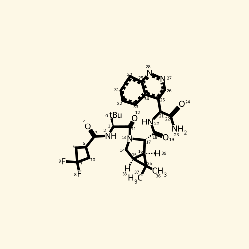 CC(C)(C)[C@H](NC(=O)C1CC(F)(F)C1)C(=O)N1C[C@H]2[C@@H]([C@H]1C(=O)NC(C(N)=O)c1cnnc3ccccc13)C2(C)C